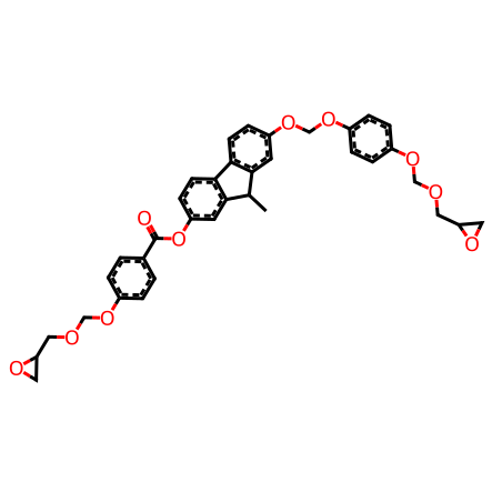 CC1c2cc(OCOc3ccc(OCOCC4CO4)cc3)ccc2-c2ccc(OC(=O)c3ccc(OCOCC4CO4)cc3)cc21